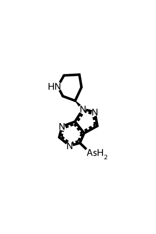 [AsH2]c1ncnc2c1cnn2[C@@H]1CCCNC1